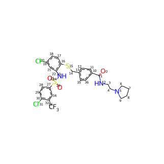 O=C(NCCN1CCCC1)c1ccc(CSc2ccc(Cl)cc2NS(=O)(=O)c2ccc(Cl)c(C(F)(F)F)c2)cc1